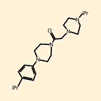 CC(C)c1ccc(N2CCN(C(=O)CN3CCN(C(C)C)CC3)CC2)cc1